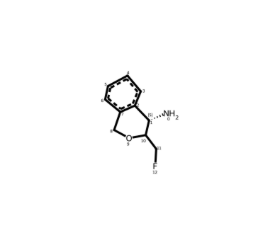 N[C@H]1c2ccccc2COC1CF